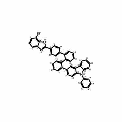 Brc1cccc2nc(-c3ccc(-c4ccccc4-c4ccccc4-c4ccc5c(c4)c4ccccc4n5-c4ccccc4)cc3)oc12